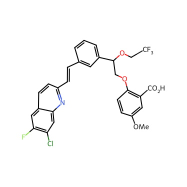 COc1ccc(OCC(OCC(F)(F)F)c2cccc(/C=C/c3ccc4cc(F)c(Cl)cc4n3)c2)c(C(=O)O)c1